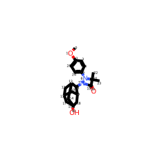 COc1ccc(N2N(C3C4CC5CC3CC(O)(C5)C4)C(=O)C2(C)C)cc1